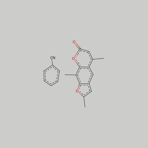 Cc1cc2cc3c(C)cc(=O)oc3c(C)c2o1.N#Cc1ccccc1